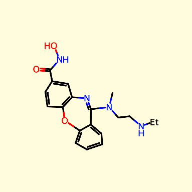 CCNCCN(C)C1=Nc2cc(C(=O)NO)ccc2Oc2ccccc21